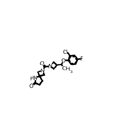 CC(Oc1ccc(F)cc1Cl)C1CN(C(=O)N2CC3(CCC(=O)N3)C2)C1